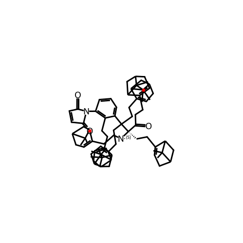 CC1(C)C2CC=C(CC[N][C@](CCC3=CCC4CC3C4(C)C)(C(=O)CCC3=CCC4CC3C4(C)C)C(CCC3=CCC4CC3C4(C)C)(CCC3=CCC4CC3C4(C)C)c3cccc(N4C(=O)C=CC4=O)c3CCC3=CCC4CC3C4(C)C)C1C2